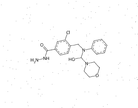 NNC(=O)c1ccc(CN(c2ccccc2)C(O)N2CCOCC2)c(Cl)c1